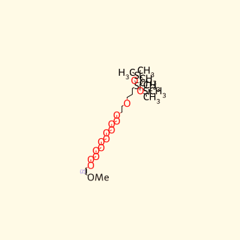 CO/C=C\OOOOOOOOOOOOCCOCCC[Si](C)(O[Si](C)(C)C)O[Si](C)(C)C